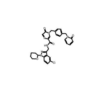 O=C(NCc1nn(C2CCCCO2)c2ccc(Cl)cc12)c1cn(Cc2ccc(Cn3ccccc3=O)cc2)c(=O)cn1